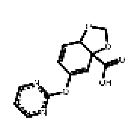 O=C(O)C12C=C(Oc3ncccn3)C=CC1OCO2